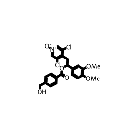 COc1ccc(C(Cc2c(Cl)c[n+]([O-])cc2Cl)OC(=O)c2ccc(CO)cc2)cc1OC